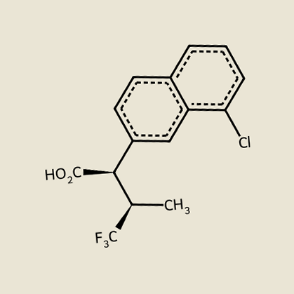 C[C@H]([C@@H](C(=O)O)c1ccc2cccc(Cl)c2c1)C(F)(F)F